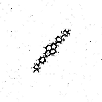 CC1(C)COC(c2ccc(-c3cc4ccc5cc(-c6ccc(C7=NC(C)(C)CO7)nc6)cc6ccc(c3)c4c56)cn2)=N1